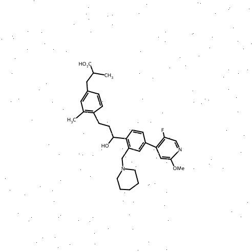 COc1cc(-c2ccc(C(O)CCc3ccc(CC(C)C(=O)O)cc3C)c(CN3CCCCC3)c2)c(F)cn1